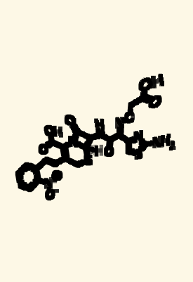 Nc1nc(C(=NOCC(=O)O)C(=O)NC2C(=O)N3C(C(=O)O)=C(C=Cc4ccccc4[N+](=O)[O-])CS[C@@H]23)cs1